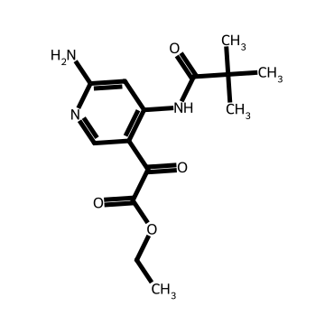 CCOC(=O)C(=O)c1cnc(N)cc1NC(=O)C(C)(C)C